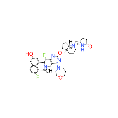 C#Cc1c(F)ccc2cc(O)cc(-c3ncc4c(N5CCCOCC5)nc(OC[C@]56CCC[C@H]5N(C[C@H]5CCC(=O)N5)CCC6)nc4c3F)c12